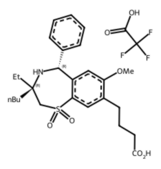 CCCC[C@]1(CC)CS(=O)(=O)c2cc(CCCC(=O)O)c(OC)cc2[C@@H](c2ccccc2)N1.O=C(O)C(F)(F)F